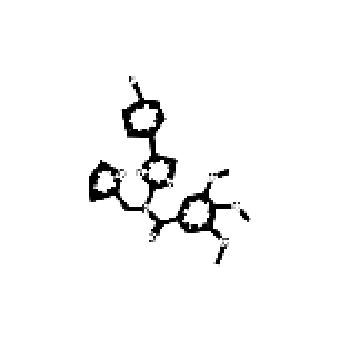 COc1cc(C(=O)N(Cc2ccco2)c2nc(-c3ccc(F)cc3)cs2)cc(OC)c1OC